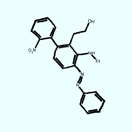 CCNc1c(N=Nc2ccccc2)ccc(-c2ccccc2[N+](=O)[O-])c1CCO